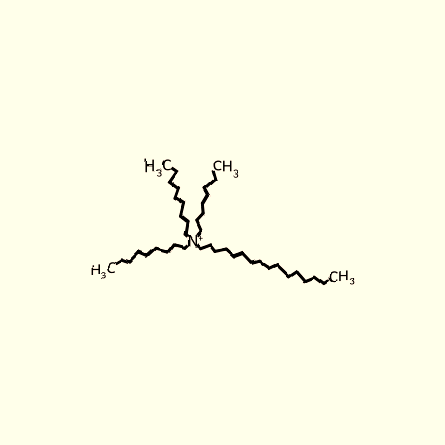 CCCCCCCCCCCCCCCC[N+](CCCCCCCCC)(CCCCCCCCC)CCCCCCCCC